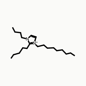 CCCCCCCCC[n+]1ccn(CCCC)c1CCCCC